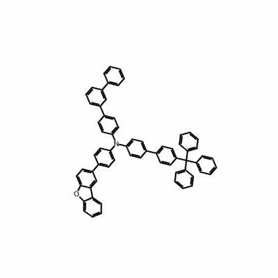 c1ccc(-c2cccc(-c3ccc(N(c4ccc(-c5ccc(C(c6ccccc6)(c6ccccc6)c6ccccc6)cc5)cc4)c4ccc(-c5ccc6oc7ccccc7c6c5)cc4)cc3)c2)cc1